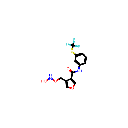 O=C(Nc1cccc(SC(F)(F)F)c1)c1cocc1CONO